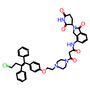 O=C1CCC(N2Cc3c(NC(=O)CC(=O)N4CCN(CCOc5ccc(C(=C(CCCl)c6ccccc6)c6ccccc6)cc5)CC4)cccc3C2=O)C(=O)N1